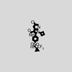 NC(=O)c1c(-c2ccc(S(=O)(=O)NC3(C(F)(F)F)CC3)cc2)n(C2CCC2)c2ncc(Cl)cc12